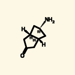 N[C@H]1C[C@H]2CC(=O)C[C@H]2C1